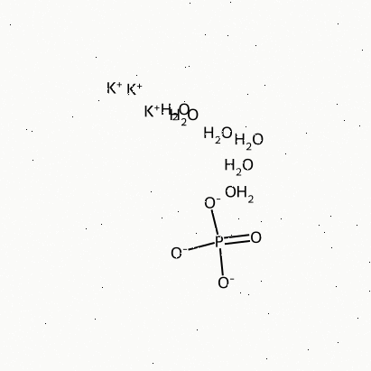 O.O.O.O.O.O.O=P([O-])([O-])[O-].[K+].[K+].[K+]